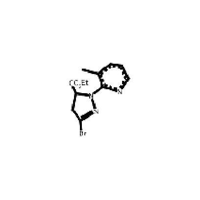 CCOC(=O)C1CC(Br)=NN1c1ncccc1C